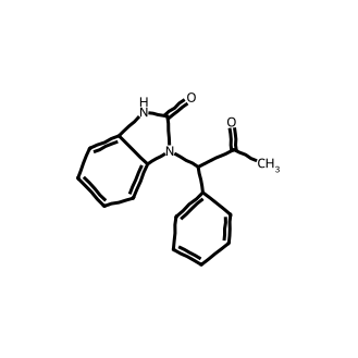 CC(=O)C(c1ccccc1)n1c(=O)[nH]c2ccccc21